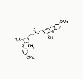 COc1ccc(Sc2c(C)cc(CCC(=O)CCc3cc(C)c(Sc4ccc(OC)cc4)c(C)c3)cc2C)cc1